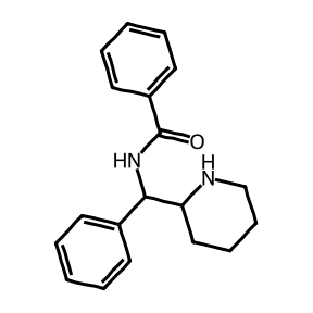 O=C(NC(c1ccccc1)C1CCCCN1)c1ccccc1